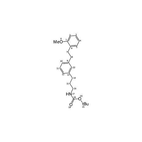 COc1ccccc1CCc1cccc(CCCNC(=O)OC(C)(C)C)c1